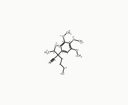 COc1cc(C(C#N)(CCCCl)C(C)C)cc(OC)c1OC